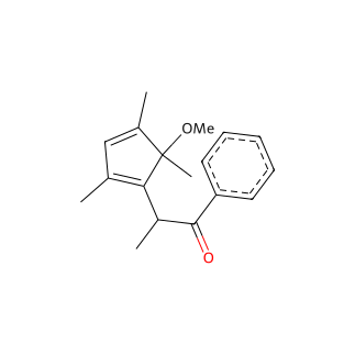 COC1(C)C(C)=CC(C)=C1C(C)C(=O)c1ccccc1